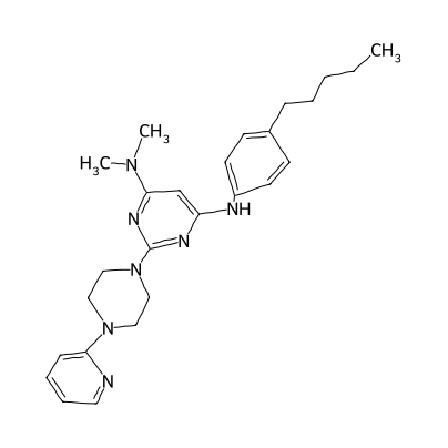 CCCCCc1ccc(Nc2cc(N(C)C)nc(N3CCN(c4ccccn4)CC3)n2)cc1